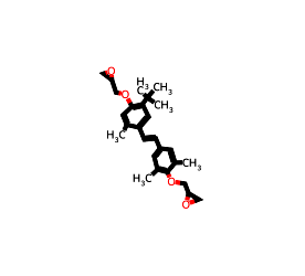 Cc1cc(OCC2CO2)c(C(C)(C)C)cc1/C=C/c1cc(C)c(OCC2CO2)c(C)c1